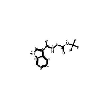 CC(NCC(=O)OC(C)(C)C)c1c[nH]c2ccccc12